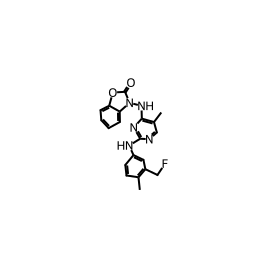 Cc1ccc(Nc2ncc(C)c(Nn3c(=O)oc4ccccc43)n2)cc1CF